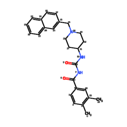 Cc1ccc(C(=O)NC(=O)NC2CCN(Cc3ccc4ccccc4c3)CC2)cc1C